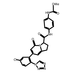 COC(=O)Nc1ccc(NC(=O)C2CCc3cc(-c4cc(Cl)ccc4-n4cnnn4)cc(=O)n32)cc1